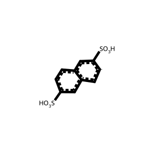 O=S(=O)(O)c1[c]cc2cc(S(=O)(=O)O)ccc2c1